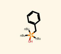 CCCCP(O)(CCCC)(CCCC)Cc1ccccc1